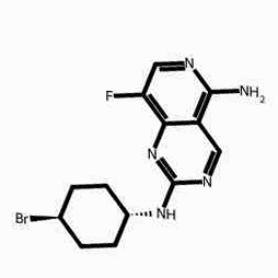 Nc1ncc(F)c2nc(N[C@H]3CC[C@H](Br)CC3)ncc12